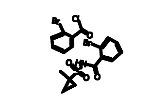 CC1(S(=O)(=O)NC(=O)c2ccccc2Br)CC1.O=C(Cl)c1ccccc1Br